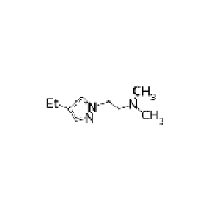 CCc1cnn(CCN(C)C)c1